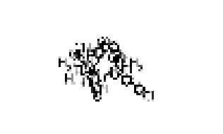 CC(=O)N[C@@H](C)C(=O)N[C@@H](Cc1ccc2c(c1)-c1cc(CN(C)C(=O)[C@H](CCCCN)NC(=O)c3ccc(-c4ccc(Cl)cc4)cc3)ccc1OO2)C(=O)N[C@@H](C)C(=O)CNC=O